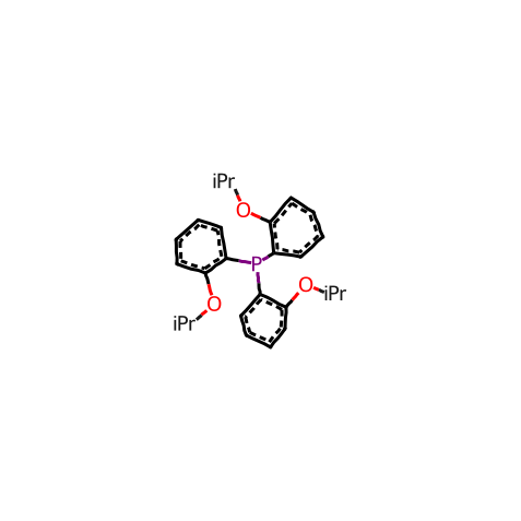 CC(C)Oc1ccccc1P(c1ccccc1OC(C)C)c1ccccc1OC(C)C